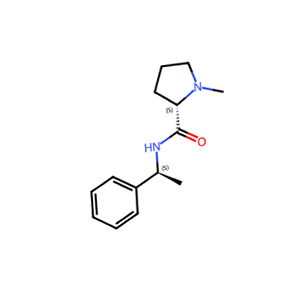 C[C@H](NC(=O)[C@@H]1CCCN1C)c1ccccc1